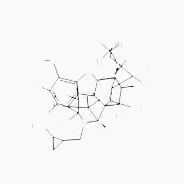 [2H]C([2H])([2H])O[C@@]12C(C)CC3([C@H](C)[C@@H]1[C@](C)(O)C(C)(C)CC)[C@@H]1N(CC4CC4C)C(C)(C)C(C)(C)[C@@]34c3c(c(OC)c(C)c(C)c3C1(C)C)O[C@@H]24